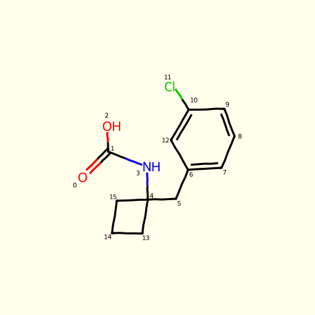 O=C(O)NC1(Cc2cccc(Cl)c2)CCC1